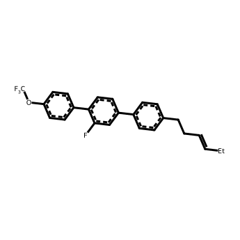 CCC=CCCc1ccc(-c2ccc(-c3ccc(OC(F)(F)F)cc3)c(F)c2)cc1